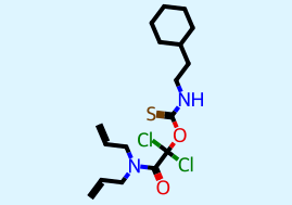 C=CCN(CC=C)C(=O)C(Cl)(Cl)OC(=S)NCCC1CCCCC1